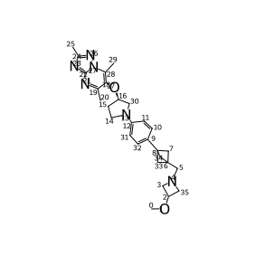 COC1CN(CC23CC(c4ccc(N5CC[C@@H](Oc6c(C)nc7nc(C)nn7c6C)C5)cc4)(C2)C3)C1